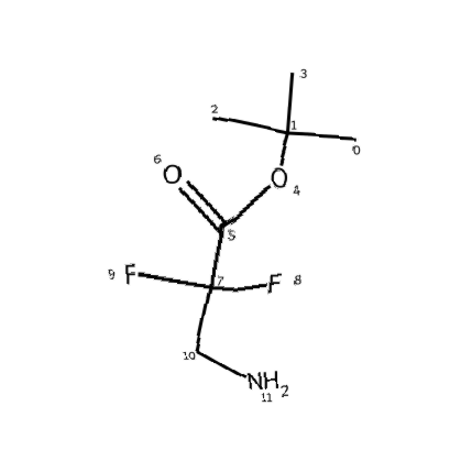 CC(C)(C)OC(=O)C(F)(F)CN